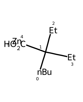 CCCCC(CC)(CC)C(=O)O.[Zn]